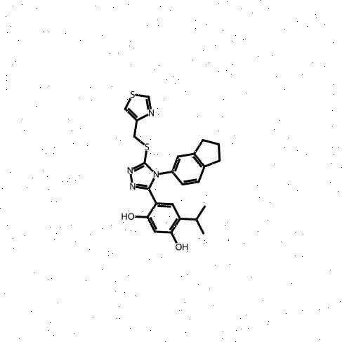 CC(C)c1cc(-c2nnc(SCc3cscn3)n2-c2ccc3c(c2)CCC3)c(O)cc1O